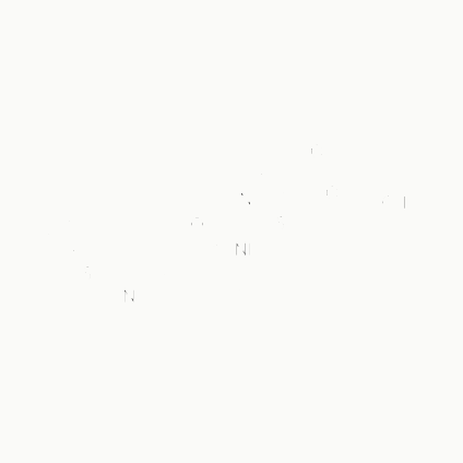 CCOC(=O)c1cnc(NC(=O)C(=CC2CCCC2)c2ccc(SC3CC3)nc2)s1